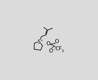 CC(C)=CC[S+]1CCCC1.O=S(=O)([O-])C(F)(F)F